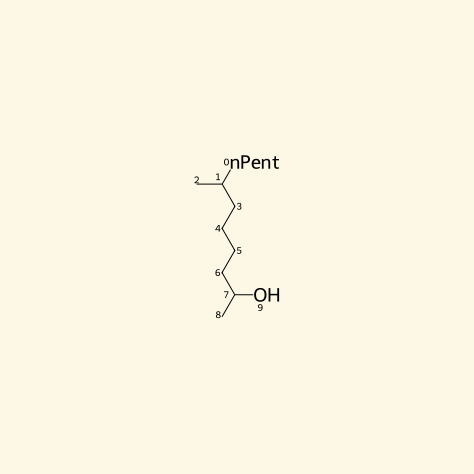 CCCCCC(C)CCCCC(C)O